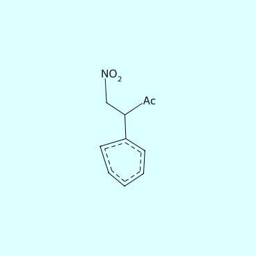 CC(=O)C(C[N+](=O)[O-])c1ccccc1